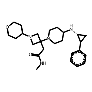 CNC(=O)CC1(N2CCC(N[C@@H]3CC3c3ccccc3)CC2)CN(C2CCOCC2)C1